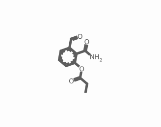 CCC(=O)Oc1cccc(C=O)c1C(N)=O